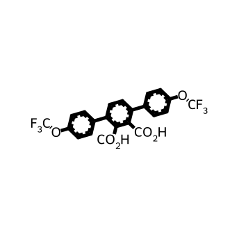 O=C(O)c1c(-c2ccc(OC(F)(F)F)cc2)ccc(-c2ccc(OC(F)(F)F)cc2)c1C(=O)O